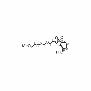 COCCOCCOCCOS(=O)(=O)c1cccc(C)c1